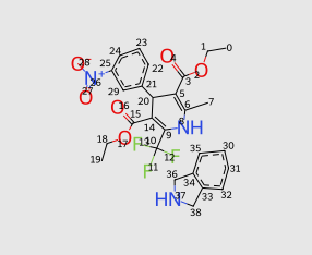 CCOC(=O)C1=C(C)NC(C(F)(F)F)=C(C(=O)OCC)C1c1cccc([N+](=O)[O-])c1.c1ccc2c(c1)CNC2